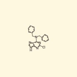 Clc1nc(N(Cc2ccccc2)Cc2ccccc2)c2nc[nH]c2n1